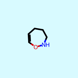 C1=CONCCC1